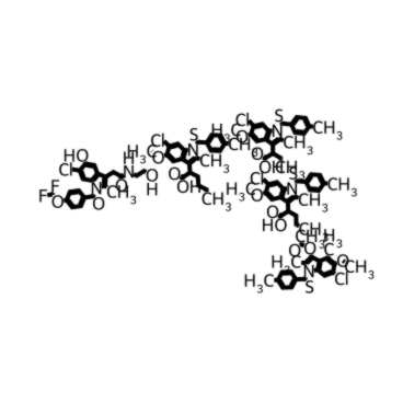 CCC(C(=O)O)c1c(C)n(C(=S)c2ccc(C)cc2)c2cc(Cl)c(OC)cc12.CCCC(C(=O)O)c1c(C)n(C(=S)c2ccc(C)cc2)c2cc(Cl)c(OC)cc12.CCCCC(C(=O)O)c1c(C)n(C(=S)c2ccc(C)cc2)c2cc(Cl)c(OC)cc12.COc1c(Cl)cc2c(c1C)c(OC(C)=O)c(C)n2C(=S)c1ccc(C)cc1.Cc1c(CC(=O)NCCO)c2cc(O)c(Cl)cc2n1C(=O)c1ccc(OC(F)F)cc1